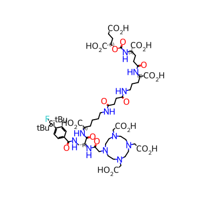 CC(C)(C)[Si](F)(c1ccc(C(=O)NC[C@@H](NC(=O)CN2CCN(CC(=O)O)CCN(CC(=O)O)CCN(CC(=O)O)CC2)C(=O)N[C@H](CCCCNC(=O)CCC(=O)NCCC[C@@H](NC(=O)CC[C@H](NC(=O)O[C@@H](CCC(=O)O)C(=O)O)C(=O)O)C(=O)O)C(=O)O)cc1)C(C)(C)C